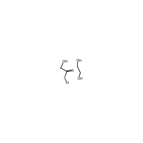 CCSC(=S)CO.OCCO